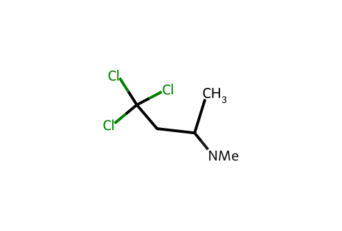 CNC(C)CC(Cl)(Cl)Cl